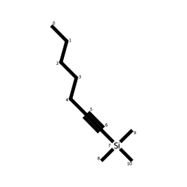 CCCCCC#C[Si](C)(C)C